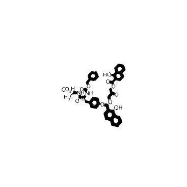 C[C@H](NC(=O)[C@H](Cc1ccccc1)NC(=O)OCc1ccccc1)C(=O)O.O=C(COC(=O)c1ccc2ccccc2c1O)COC(=O)c1ccc2ccccc2c1O